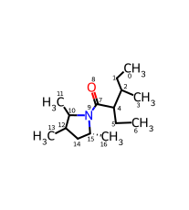 CCC(C)C(CC)C(=O)N1C(C)C(C)C[C@H]1C